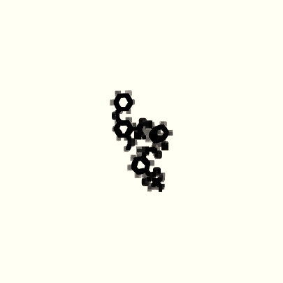 COc1ccc(OC2CCCCC2)cc1C(=O)N[C@@H]1[C@H]2CC[C@H](C2)[C@@H]1C(=O)Nc1cccc(S(=O)(=O)C(F)(F)F)c1